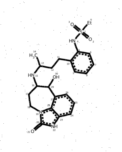 CCS(=O)(=O)Nc1ccccc1CCC(C)NC1CCn2c(=O)[nH]c3cccc(c32)C1O